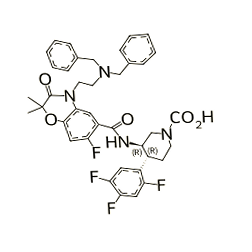 CC1(C)Oc2cc(F)c(C(=O)N[C@H]3CN(C(=O)O)CC[C@@H]3c3cc(F)c(F)cc3F)cc2N(CCN(Cc2ccccc2)Cc2ccccc2)C1=O